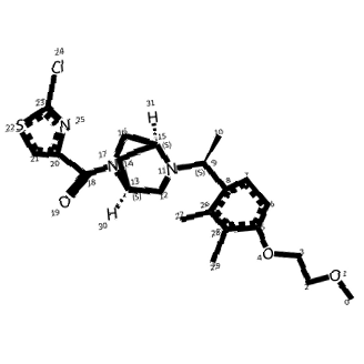 COCCOc1ccc([C@H](C)N2C[C@@H]3C[C@H]2CN3C(=O)c2csc(Cl)n2)c(C)c1C